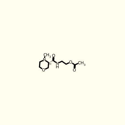 CC(=O)OCCNC(=O)[C@@H]1COCCN1C